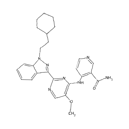 COc1cnc(-c2nn(CCC3CCCCC3)c3ccccc23)nc1Nc1ccncc1C(N)=O